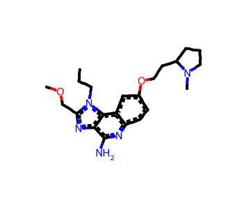 CCCn1c(COC)nc2c(N)nc3ccc(OCCC4CCCN4C)cc3c21